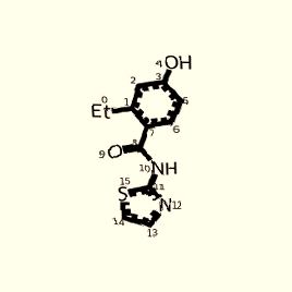 CCc1cc(O)ccc1C(=O)Nc1nccs1